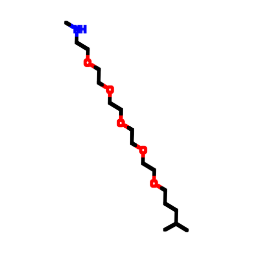 CNCCOCCOCCOCCOCCOCCCC(C)C